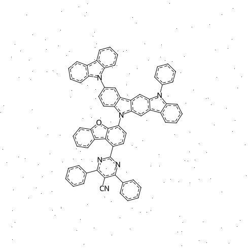 N#Cc1c(-c2ccccc2)nc(-c2ccc(-n3c4ccc(-n5c6ccccc6c6ccccc65)cc4c4cc5c(cc43)c3ccccc3n5-c3ccccc3)c3oc4ccccc4c23)nc1-c1ccccc1